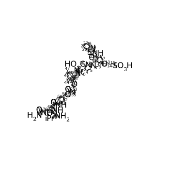 Cc1c(-c2ccc(N3CCc4c(OCCCS(=O)(=O)O)ccc(C(=O)Nc5nc6ccccc6s5)c4C3)nc2C(=O)O)cnn1CC12CC3(C)CC(C)(C1)CC(OCCN(C)C(=O)OCc1ccc(NC(=O)[C@H](CCCNC(N)=O)NC(=O)[C@@H](N)C(C)C)cc1)(C3)C2